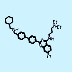 CCN(CC)CCCNc1nc(-c2ccc(-c3ccc(CNCC4CCCCC4)cc3)cc2)nc2cc(Cl)ccc12